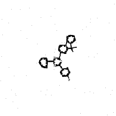 CC1(C)c2ccccc2-c2ccc(-c3nc(-c4ccccc4)nc(-c4ccc(Br)cc4)n3)cc21